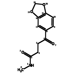 CNC(=O)CCC(=O)c1ccc2c(c1)OCO2